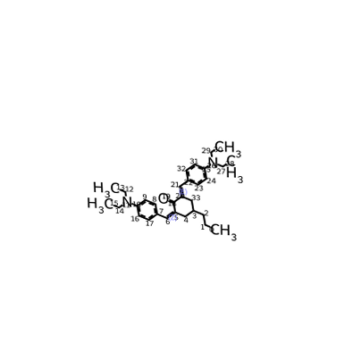 CCCC1C/C(=C/c2ccc(N(CC)CC)cc2)C(=O)/C(=C/c2ccc(N(CC)CC)cc2)C1